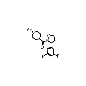 CC(=O)N1CCC(C(=O)N2OCC[C@@H]2c2cc(F)cc(F)c2)CC1